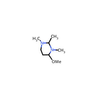 COC1CCN(C)C(C)N1C